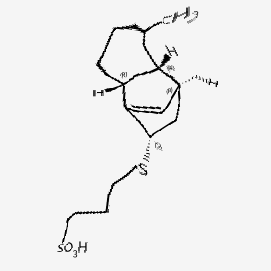 CC1CC[C@H]2C3=C[C@H](C[C@@H]3SCCCS(=O)(=O)O)[C@@H]12